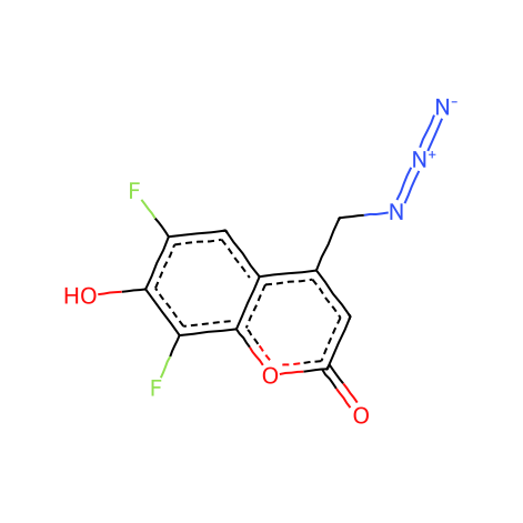 [N-]=[N+]=NCc1cc(=O)oc2c(F)c(O)c(F)cc12